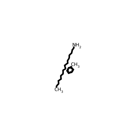 CCCCCCCCCCCCCCCCCN.Cc1ccccc1